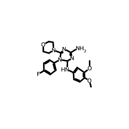 COc1ccc(NC2N=C(N)N=C(N3CCOCC3)N2c2ccc(F)cc2)cc1OC